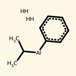 C[CH](C)[Al][c]1ccccc1.[HH].[HH]